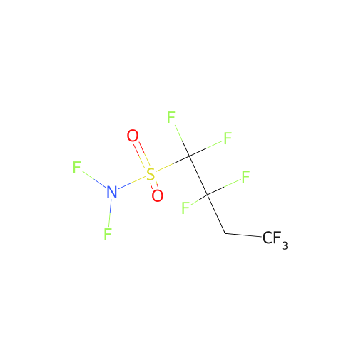 O=S(=O)(N(F)F)C(F)(F)C(F)(F)CC(F)(F)F